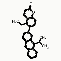 CCc1c(-c2ccc3cc4ccccc4c(C(C)C)c3c2)ccc2oc(=O)ccc12